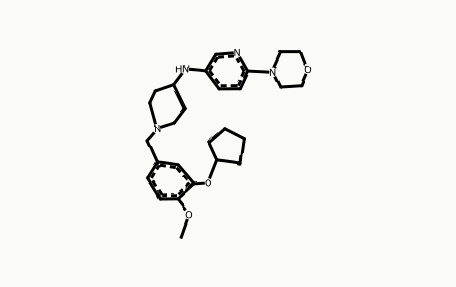 COc1ccc(CN2CCC(Nc3ccc(N4CCOCC4)nc3)CC2)cc1OC1CCCC1